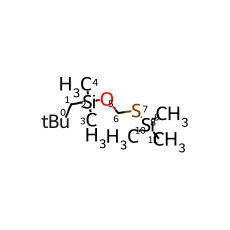 CC(C)(C)C[Si](C)(C)OCS[Si](C)(C)C